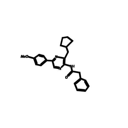 COc1ccc(-c2cnc(NC(=O)Cc3ccccc3)c(CC3CCCC3)n2)cc1